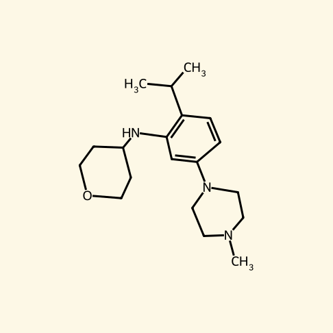 CC(C)c1ccc(N2CCN(C)CC2)cc1NC1CCOCC1